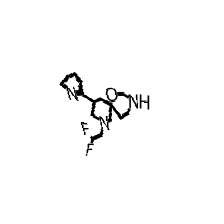 FC(F)CN1CC(c2ccccn2)CC2(CCNCO2)C1